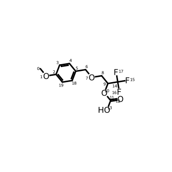 COc1ccc(COCC(OC(=O)O)C(F)(F)F)cc1